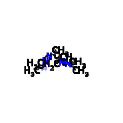 C=C(/C=C\CC)N1CCN(Cc2cc(C(=C)N3CCN(/C(C)=C/CC)CC3)c(C)cc2C)CC1